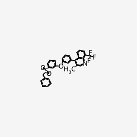 Cc1cnc2c(C(F)(F)F)cccc2c1-c1cccc(Oc2cccc(S(=O)(=O)Cc3ccccc3)c2)c1